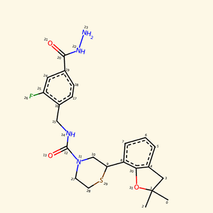 CC1(C)Cc2cccc(C3CN(C(=O)NCc4ccc(C(=O)NN)cc4F)CCS3)c2O1